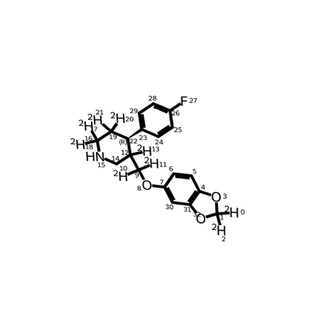 [2H]C1([2H])Oc2ccc(OC([2H])([2H])C3([2H])CNC([2H])([2H])C([2H])([2H])[C@H]3c3ccc(F)cc3)cc2O1